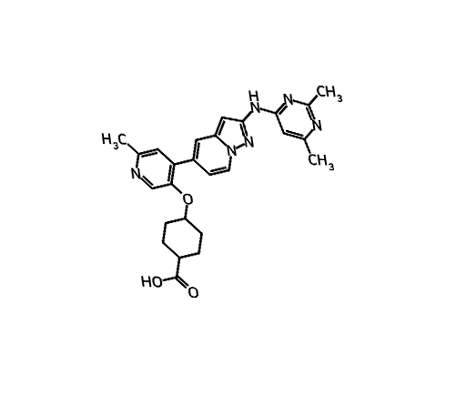 Cc1cc(-c2ccn3nc(Nc4cc(C)nc(C)n4)cc3c2)c(OC2CCC(C(=O)O)CC2)cn1